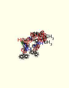 COC(=O)[C@@H]1O[C@H](Oc2ccc(COC(=O)N(CCS(C)(=O)=O)COC[C@H]3O[C@@H](n4ccc(NC(=O)OCC5c6ccccc6-c6ccccc65)nc4=O)C(F)(F)[C@@H]3O)cc2NC(=O)CN(C)C(=O)OCC2c3ccccc3-c3ccccc32)[C@@H](OC(C)=O)[C@H](OC(C)=O)[C@H]1OC(C)=O